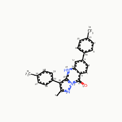 Cc1nn2c(=O)c3ccc(-c4ccc(C(F)(F)F)cc4)cc3[nH]c2c1-c1ccc(C(F)(F)F)cc1